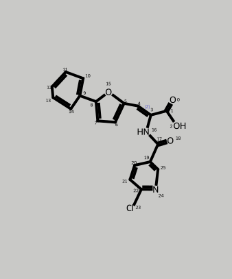 O=C(O)/C(=C/c1ccc(-c2ccccc2)o1)NC(=O)c1ccc(Cl)nc1